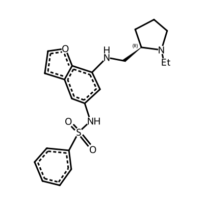 CCN1CCC[C@@H]1CNc1cc(NS(=O)(=O)c2ccccc2)cc2ccoc12